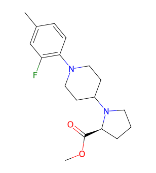 COC(=O)[C@@H]1CCCN1C1CCN(c2ccc(C)cc2F)CC1